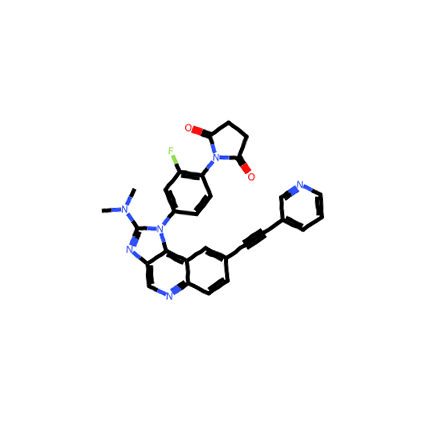 CN(C)c1nc2cnc3ccc(C#Cc4cccnc4)cc3c2n1-c1ccc(N2C(=O)CCC2=O)c(F)c1